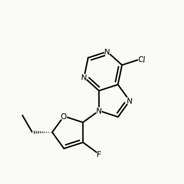 CC[C@H]1C=C(F)C(n2cnc3c(Cl)ncnc32)O1